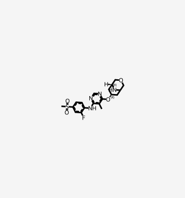 Cc1c(Nc2ccc(S(C)(=O)=O)cc2F)ncnc1O[C@@H]1CC2COC[C@@H](C1)N2